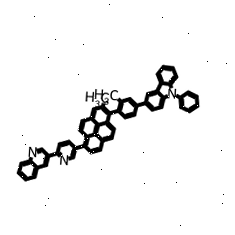 Cc1cc(-c2ccc3c(c2)c2ccccc2n3-c2ccccc2)ccc1-c1c(C)cc2ccc3c(-c4ccc(-c5cnc6ccccc6c5)nc4)ccc4ccc1c2c43